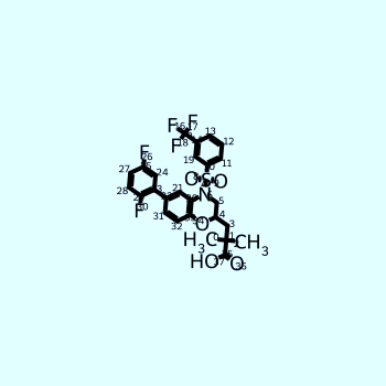 CC(C)(CC1CN(S(=O)(=O)c2cccc(C(F)(F)F)c2)c2cc(-c3cc(F)ccc3F)ccc2O1)C(=O)O